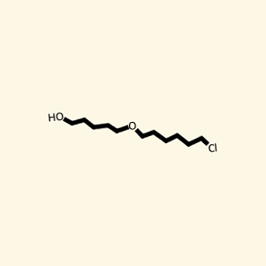 OCCCCCOCCCCCCCl